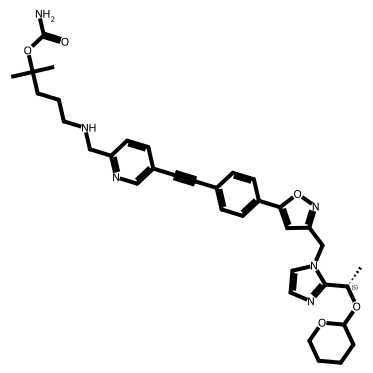 C[C@H](OC1CCCCO1)c1nccn1Cc1cc(-c2ccc(C#Cc3ccc(CNCCCC(C)(C)OC(N)=O)nc3)cc2)on1